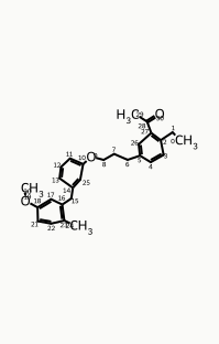 CCc1ccc(CCCOc2cccc(Cc3cc(OC)ccc3C)c2)cc1C(C)=O